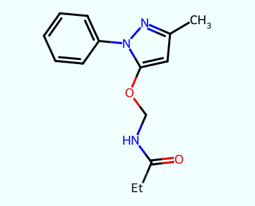 CCC(=O)NCOc1cc(C)nn1-c1ccccc1